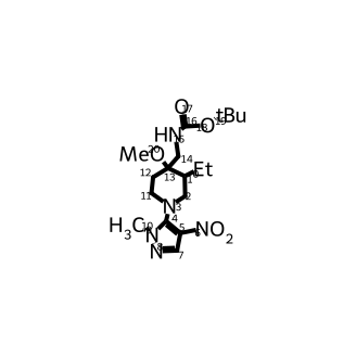 CCC1CN(c2c([N+](=O)[O-])cnn2C)CCC1(CNC(=O)OC(C)(C)C)OC